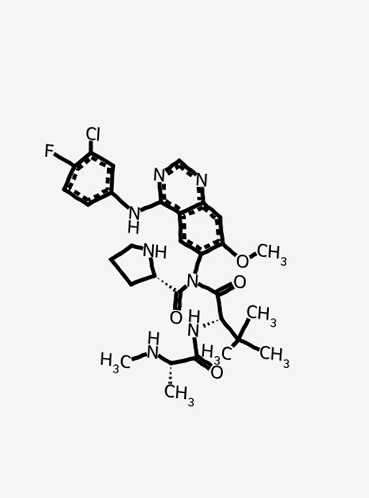 CN[C@@H](C)C(=O)N[C@H](C(=O)N(C(=O)[C@@H]1CCCN1)c1cc2c(Nc3ccc(F)c(Cl)c3)ncnc2cc1OC)C(C)(C)C